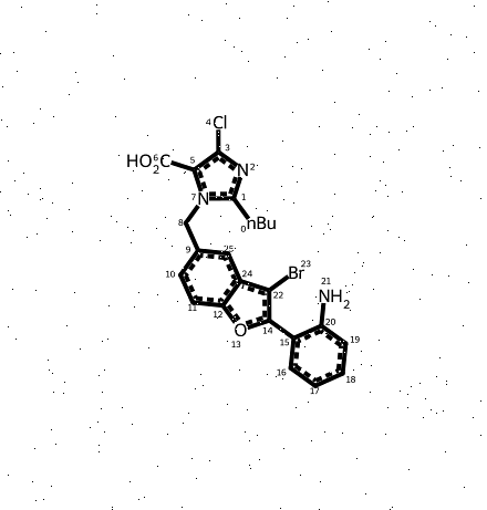 CCCCc1nc(Cl)c(C(=O)O)n1Cc1ccc2oc(-c3ccccc3N)c(Br)c2c1